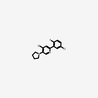 Fc1ccc(Cl)cc1-c1cc(Cl)c(N2CCCC2)cn1